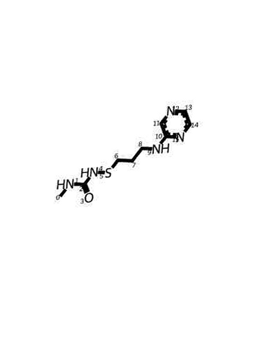 CNC(=O)NSCCCNc1cnccn1